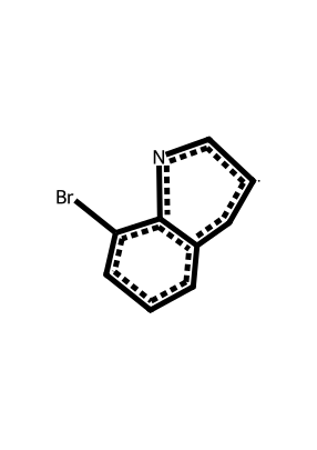 Brc1cccc2c[c]cnc12